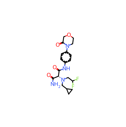 NC(=O)[C@H](C(=O)Nc1ccc(N2CCOCC2=O)cc1)N(CC(F)F)CC1CC1